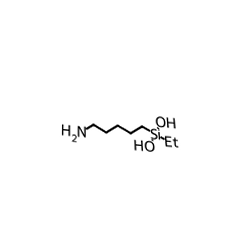 CC[Si](O)(O)CCCCCN